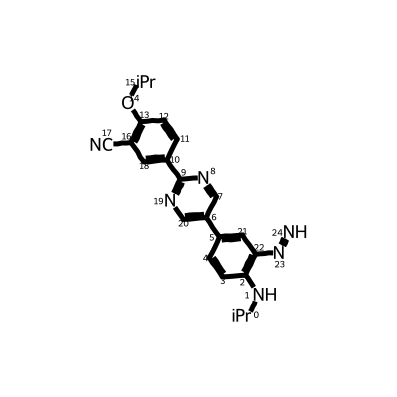 CC(C)Nc1ccc(-c2cnc(-c3ccc(OC(C)C)c(C#N)c3)nc2)cc1N=N